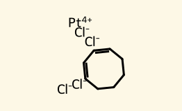 C1=C\CCCC\C=C/1.[Cl-].[Cl-].[Cl-].[Cl-].[Pt+4]